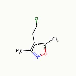 Cc1noc(C)c1CCCl